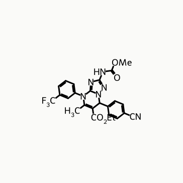 CCOC(=O)C1=C(C)N(c2cccc(C(F)(F)F)c2)c2nc(NC(=O)OC)nn2C1c1ccc(C#N)cc1